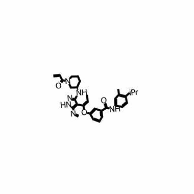 C=CC(=O)N1CCC[C@@H](Nc2n[nH]c(N=C)c2/C(=C\C)Oc2cccc(C(=O)Nc3ccc(C(C)C)c(C)c3)c2)C1